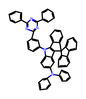 c1ccc(-c2nc(-c3ccccc3)nc(-c3cccc(-n4c5c(c6cc(N(c7ccccc7)c7ccccc7)ccc64)C4(c6ccccc6-c6ccccc64)c4ccccc4-5)c3)n2)cc1